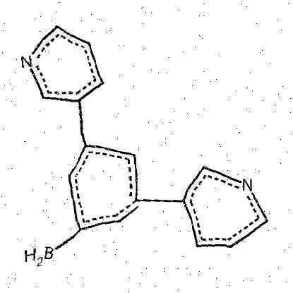 Bc1cc(-c2cccnc2)cc(-c2cccnc2)c1